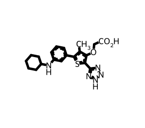 Cc1c(-c2cccc(NC3CCCCC3)c2)sc(-c2nn[nH]n2)c1OCC(=O)O